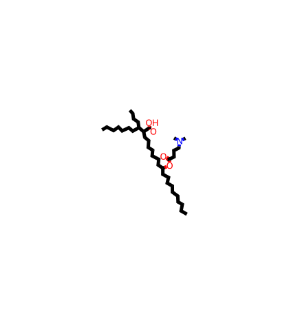 CCCCCCCCCCC(CCCCCCCC(C(=O)O)C(CCCC)CCCCCCC)OC(=O)CCCN(C)C